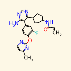 C=CC(=O)NC1CCC(c2ncnc(N)c2-c2ccc(Oc3nccc(C)n3)c(F)c2)CC1